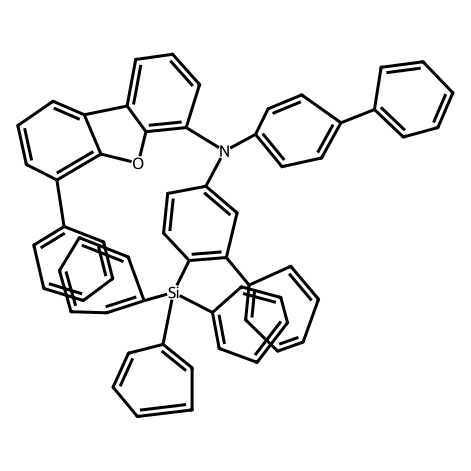 c1ccc(-c2ccc(N(c3ccc([Si](c4ccccc4)(c4ccccc4)c4ccccc4)c(-c4ccccc4)c3)c3cccc4c3oc3c(-c5ccccc5)cccc34)cc2)cc1